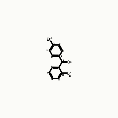 CCc1ccc(C(=O)c2ccccc2Br)cc1